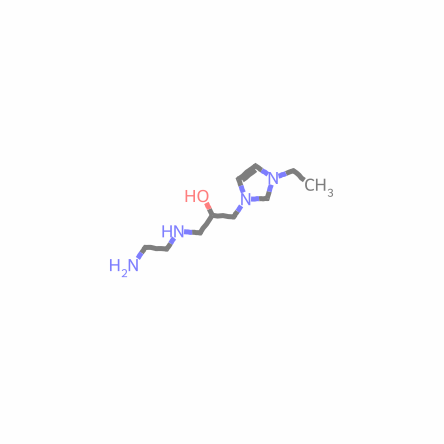 CCN1C=CN(CC(O)CNCCN)C1